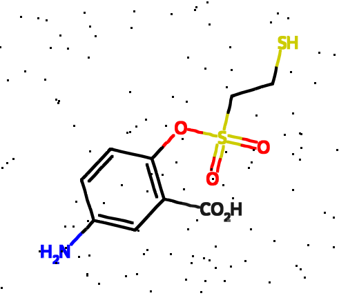 Nc1ccc(OS(=O)(=O)CCS)c(C(=O)O)c1